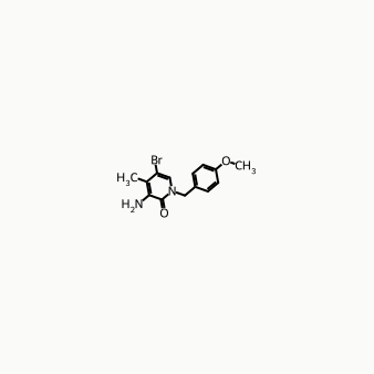 COc1ccc(Cn2cc(Br)c(C)c(N)c2=O)cc1